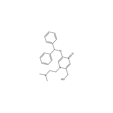 CN(C)CCn1cc(OC(c2ccccc2)c2ccccc2)c(=O)cc1CO